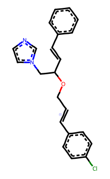 Clc1ccc(/C=C/COC(C=Cc2ccccc2)Cn2ccnc2)cc1